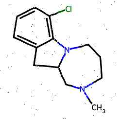 CN1CCCN2c3c(Cl)cccc3CC2C1